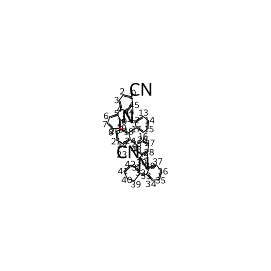 N#Cc1ccc2c3ccccc3n(-c3ccccc3-c3cccc(C#N)c3-c3cccc(-n4c5c(c6ccccc64)CCC=C5)c3)c2c1